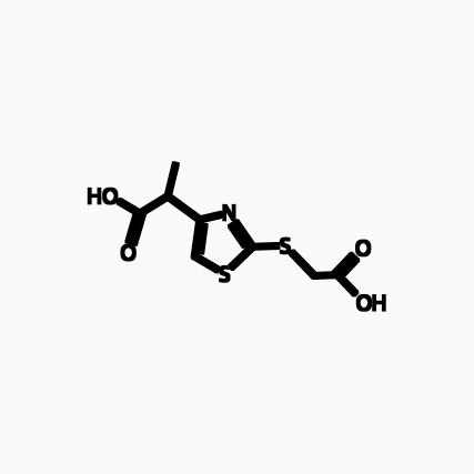 CC(C(=O)O)c1csc(SCC(=O)O)n1